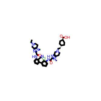 CCN1CCc2c(nc(C(=O)Nc3cccc(-c4cccc(NC(=O)c5nc6c(n5C)CCN(CC[C@H]5CC[C@H](C(=O)O)CC5)C6)c4Cl)c3C#N)n2C)C1